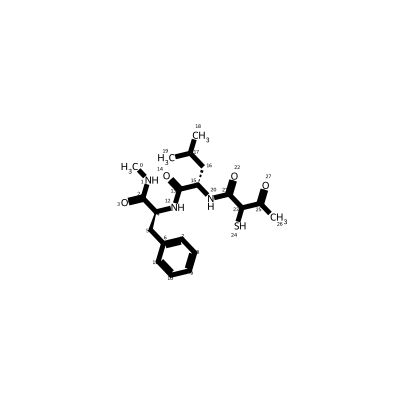 CNC(=O)[C@H](Cc1ccccc1)NC(=O)[C@H](CC(C)C)NC(=O)C(S)C(C)=O